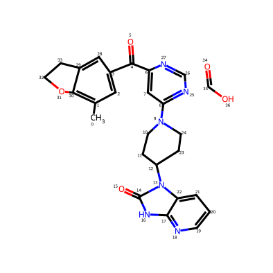 Cc1cc(C(=O)c2cc(N3CCC(n4c(=O)[nH]c5ncccc54)CC3)ncn2)cc2c1OCC2.O=CO